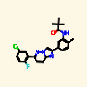 Cc1ccc(-c2cn3nc(-c4cc(Cl)ccc4F)ccc3n2)cc1NC(=O)C(C)(C)C